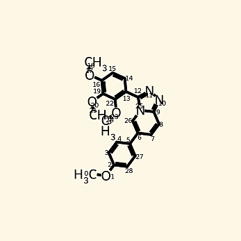 COc1ccc(-c2ccc3nnc(-c4ccc(OC)c(OC)c4OC)n3c2)cc1